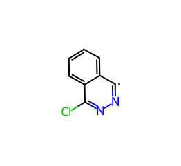 Clc1nn[c]c2ccccc12